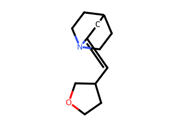 C(=C1CC2CCN1CC2)C1CCOC1